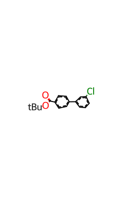 CC(C)(C)OC(=O)c1ccc(-c2cccc(Cl)c2)cc1